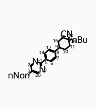 CCCCCCCCCc1cnc(-c2ccc(C3CCC(C#N)(CCCC)CC3)cc2)nc1